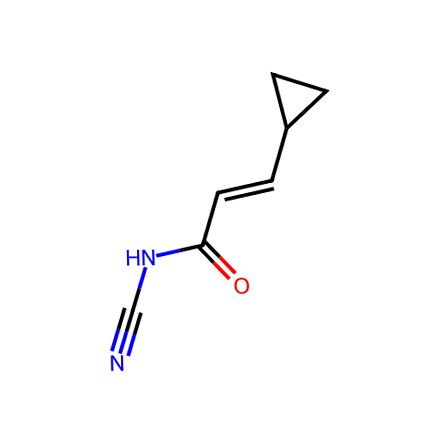 N#CNC(=O)C=CC1CC1